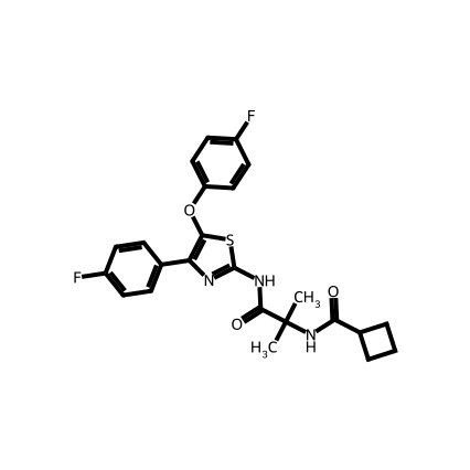 CC(C)(NC(=O)C1CCC1)C(=O)Nc1nc(-c2ccc(F)cc2)c(Oc2ccc(F)cc2)s1